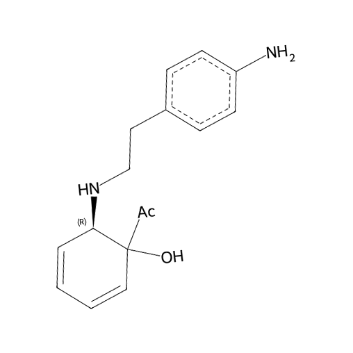 CC(=O)C1(O)C=CC=C[C@H]1NCCc1ccc(N)cc1